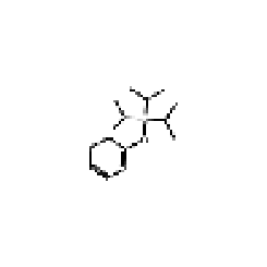 CC(C)[Si](OC1=CC=CCC1)(C(C)C)C(C)C